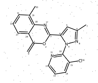 C=C1OC(c2cc(C)nn2-c2ncccc2Cl)=Nc2c(C)cccc21